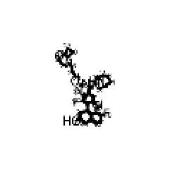 Oc1cc(-c2c(Cl)cc3c(N4CC5CCC(C4)N5)nc(OCCCN4CCOC5CCC54)nc3c2F)c2c(F)c(F)ccc2c1